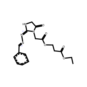 CCOC(=O)CCOC(=O)CN1C(=O)CN/C1=N/N=C/c1ccccc1